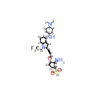 CN(C)[C@H]1CC[C@@H](Nc2cccc3c2cc(C#CCOc2ccc(S(C)(=O)=O)cc2N)n3CC(F)(F)F)CC1